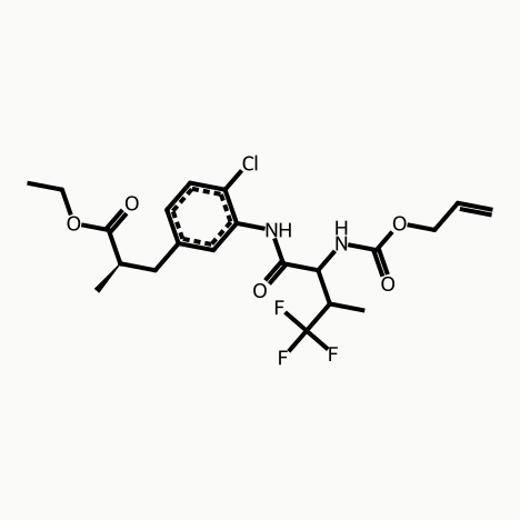 C=CCOC(=O)NC(C(=O)Nc1cc(C[C@@H](C)C(=O)OCC)ccc1Cl)C(C)C(F)(F)F